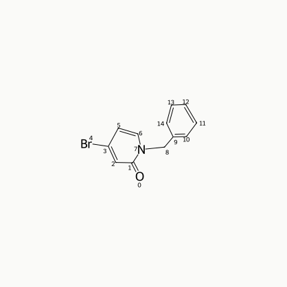 O=c1cc(Br)ccn1Cc1ccccc1